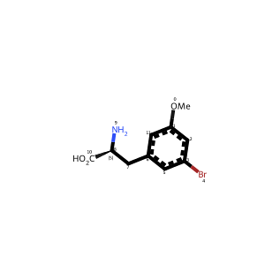 COc1cc(Br)cc(C[C@H](N)C(=O)O)c1